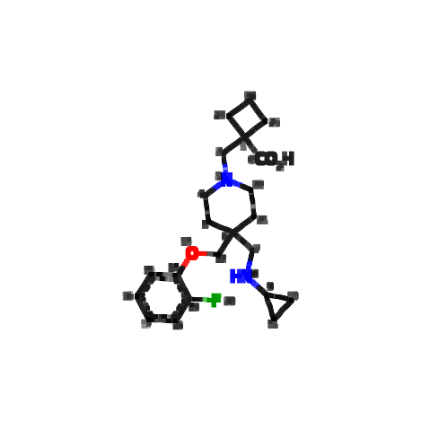 O=C(O)C1(CN2CCC(CNC3CC3)(COc3ccccc3F)CC2)CCC1